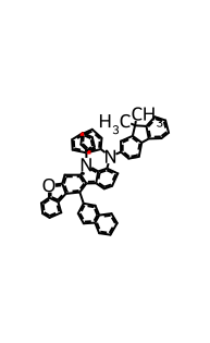 CC1(C)c2ccccc2-c2ccc(N(c3ccccc3)c3cccc4c5c(-c6ccc7ccccc7c6)c6c(cc5n(-c5ccccc5)c34)oc3ccccc36)cc21